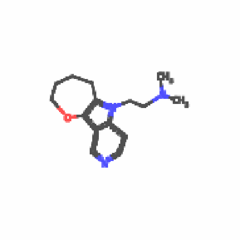 CN(C)CCn1c2c(c3cnccc31)OCCCC2